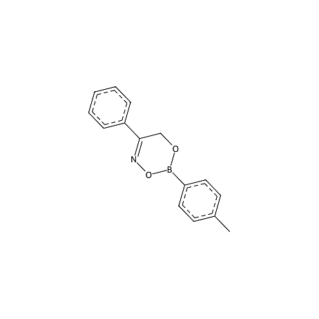 Cc1ccc(B2OCC(c3ccccc3)=NO2)cc1